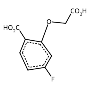 O=C(O)COc1cc(F)ccc1C(=O)O